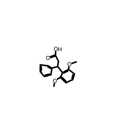 COc1cccc(OC)c1C(CC(=O)O)c1ccccc1